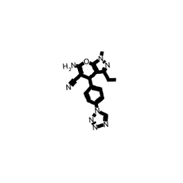 CCc1nn(C)c2c1C(c1ccc(-n3cnnn3)cc1)C(C#N)=C(N)O2